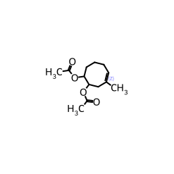 CC(=O)OC1CCC/C=C(/C)CC1OC(C)=O